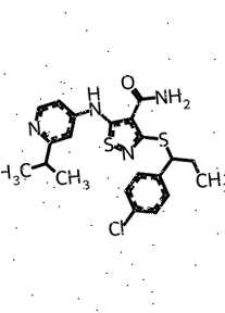 CCC(Sc1nsc(Nc2ccnc(C(C)C)c2)c1C(N)=O)c1ccc(Cl)cc1